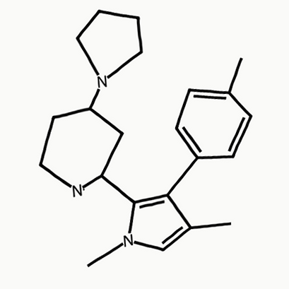 Cc1ccc(-c2c(C)cn(C)c2C2CC(N3CCCC3)CC[N]2)cc1